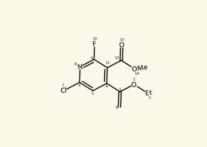 C=C(OCC)c1cc(Cl)nc(F)c1C(=O)OC